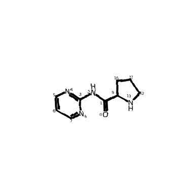 O=C(Nc1ncccn1)C1CCCN1